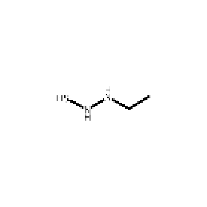 CCNNS